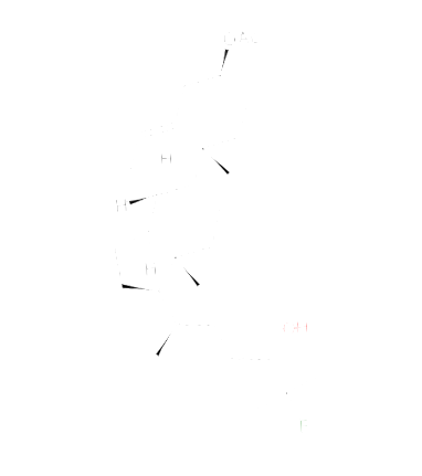 CC(=O)O[C@H]1CC[C@@]2(C)C(=CC[C@H]3[C@@H]4CC[C@H]([C@H](C)CCC(O)C(C)(C)F)[C@@]4(C)CC[C@@H]32)C1